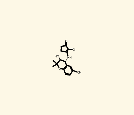 CC1(C)Oc2ccc(C#N)cc2[C@@H](NC2=C(Cl)C(=O)CC2)[C@@H]1O